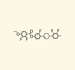 CCOc1ccc(C(=O)Oc2ccc(C3=CCC(c4ccc(C)c(F)c4F)CC3)c(F)c2)c(F)c1F